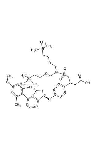 COc1cc(C)c(-c2cccc3c2CC[C@H]3Oc2ccc(C(CC(=O)O)CS(=O)(=O)N(COCC[Si](C)(C)C)COCC[Si](C)(C)C)cc2)c(C)c1